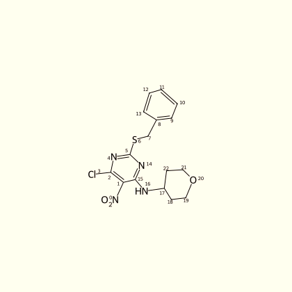 O=[N+]([O-])c1c(Cl)nc(SCc2ccccc2)nc1NC1CCOCC1